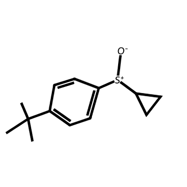 CC(C)(C)c1ccc([S+]([O-])C2CC2)cc1